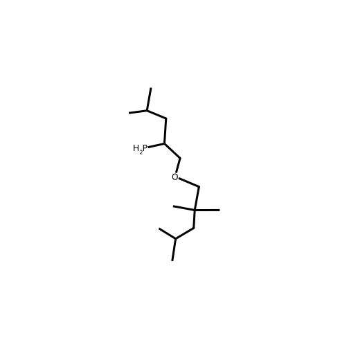 CC(C)CC(P)COCC(C)(C)CC(C)C